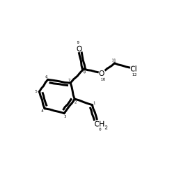 C=Cc1ccccc1C(=O)OCCl